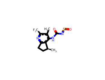 Cc1c(C(F)(F)F)nc2c(c1NC(=O)N=S=O)[C@@H](C)CC2